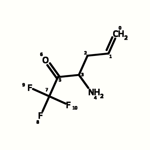 C=CCC(N)C(=O)C(F)(F)F